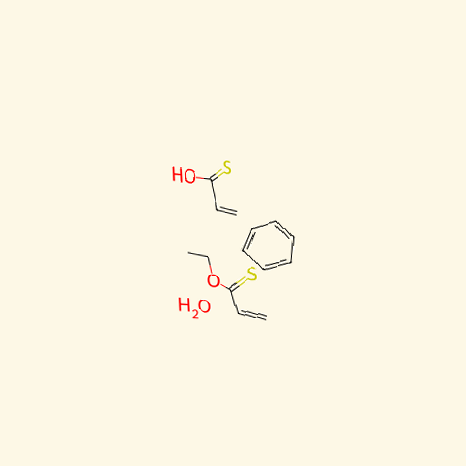 C=CC(=S)OCC.C=CC(O)=S.O.c1ccccc1